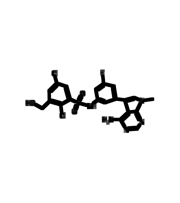 Cn1cc(-c2cc(F)cc(NS(=O)(=O)c3cc(Cl)cc(CO)c3Cl)c2)c2c(N)ncnc21